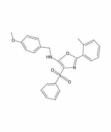 COc1ccc(CNc2oc(-c3ccccc3C)nc2S(=O)(=O)c2ccccc2)cc1